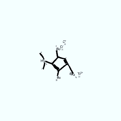 CCC(C)C1=CC(C(C)CC)C([SiH](C)C)=C1C(C)CC.[Cl-].[Cl-].[Ti+2]